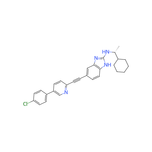 C[C@@H](Nc1nc2cc(C#Cc3ccc(-c4ccc(Cl)cc4)cn3)ccc2[nH]1)C1CCCCC1